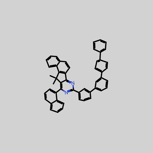 CC1(C)c2c(nc(-c3cccc(-c4cccc(-c5ccc(-c6ccccc6)cc5)c4)c3)nc2-c2cccc3ccccc23)-c2ccc3ccccc3c21